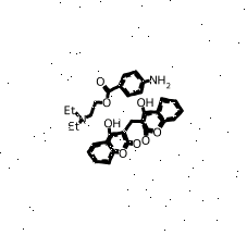 CCN(CC)CCOC(=O)c1ccc(N)cc1.O=c1oc2ccccc2c(O)c1Cc1c(O)c2ccccc2oc1=O